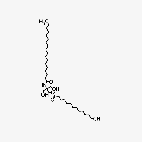 CCCCCCCCCCCCCCCCCC(=O)NC(CO)(CO)COC(=O)CCCCCCCCCCCCC